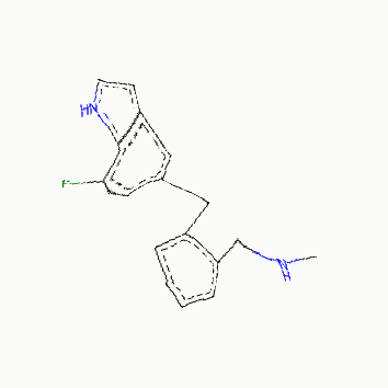 CNCc1ccccc1Cc1cc(F)c2[nH]ccc2c1